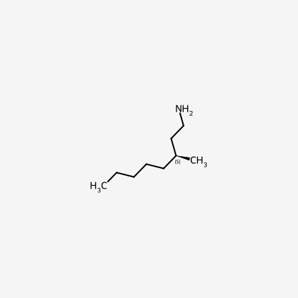 CCCCC[C@H](C)CCN